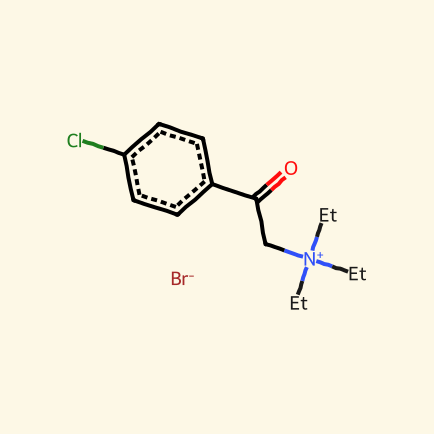 CC[N+](CC)(CC)CC(=O)c1ccc(Cl)cc1.[Br-]